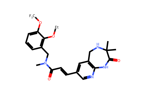 CCOc1c(CN(C)C(=O)C=Cc2cnc3c(c2)CNC(C)(C)C(=O)N3)cccc1OC(F)(F)F